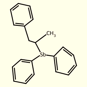 C[CH](Cc1ccccc1)[Sb]([c]1ccccc1)[c]1ccccc1